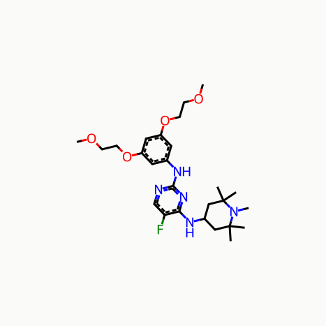 COCCOc1cc(Nc2ncc(F)c(NC3CC(C)(C)N(C)C(C)(C)C3)n2)cc(OCCOC)c1